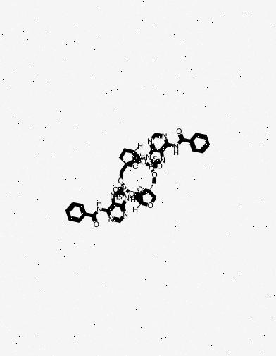 O=C(Nc1ncnc2c1ncn2[C@@H]1O[C@@]23CC[C@@H]1[C@@H]2O[P@](=O)(S)OC[C@@]12CO[C@@H]([C@H](n4cnc5c(NC(=O)c6ccccc6)ncnc54)O1)[C@@H]2O[P@](=O)(S)OC3)c1ccccc1